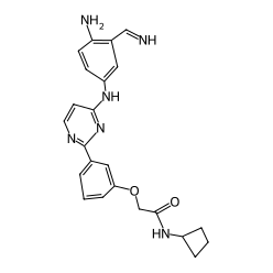 N=Cc1cc(Nc2ccnc(-c3cccc(OCC(=O)NC4CCC4)c3)n2)ccc1N